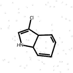 ClC1=CNC2C=[C]C=CC12